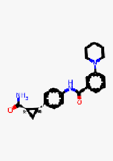 NC(=O)[C@@H]1C[C@H]1c1ccc(NC(=O)c2cccc(N3CCCCC3)c2)cc1